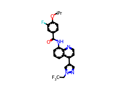 CC(C)Oc1ccc(C(=O)Nc2cccc3c(-c4cnn(CC(F)(F)F)c4)ccnc23)cc1F